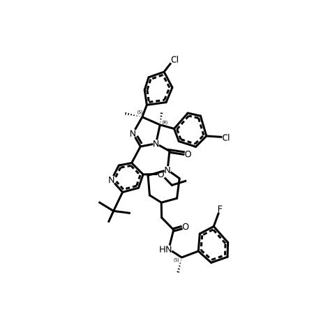 CCOc1cc(C(C)(C)C)ncc1C1=N[C@@](C)(c2ccc(Cl)cc2)[C@@](C)(c2ccc(Cl)cc2)N1C(=O)N1CCC(CC(=O)N[C@@H](C)c2cccc(F)c2)CC1